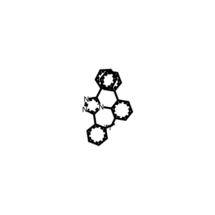 Cc1ccccc1-c1nnc(-c2ccccc2)n1-c1c(-c2ccccc2)cccc1C(C)C